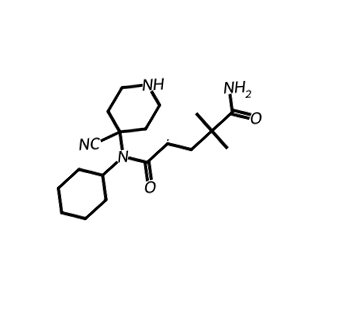 CC(C)(C[CH]C(=O)N(C1CCCCC1)C1(C#N)CCNCC1)C(N)=O